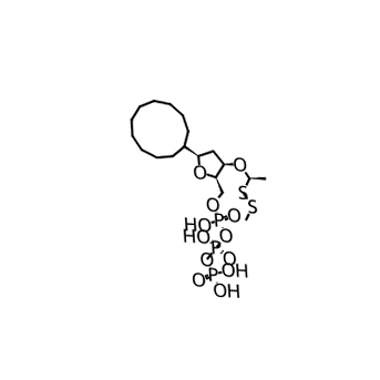 CSS[C@H](C)O[C@@H]1C[C@H](C2CCCCCCCCCC2)O[C@@H]1COP(=O)(O)OP(=O)(O)OP(=O)(O)O